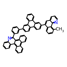 Cc1cccc2c(-c3ccc4c5ccc(-c6cccc(-c7nc8ccccc8c8c9ccccc9c9ccccc9c78)c6)cc5c5ccccc5c4c3)cc3cccnc3c12